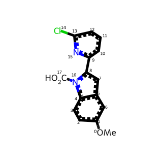 COc1ccc2c(c1)cc(-c1cccc(Cl)n1)n2C(=O)O